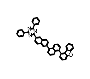 c1ccc(-c2nc(-c3ccccc3)nc(-c3ccc4cc(-c5cccc6c(-c7cccc8oc9ccccc9c78)cccc56)ccc4c3)n2)cc1